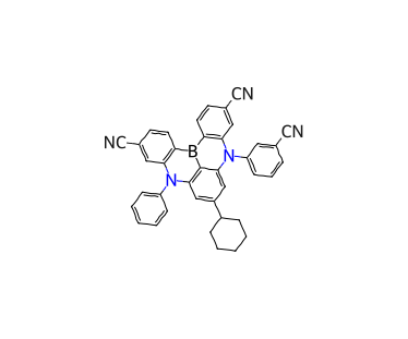 N#Cc1cccc(N2c3cc(C#N)ccc3B3c4ccc(C#N)cc4N(c4ccccc4)c4cc(C5CCCCC5)cc2c43)c1